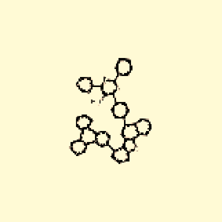 Cc1c(-c2ccccc2)nc(-c2ccccc2)nc1-c1ccc(-c2cc3c(oc4cccc(-c5ccc6c7ccccc7c7ccccc7c6c5)c43)c3ccccc23)cc1